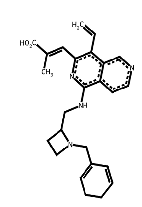 C=Cc1c(/C=C(\C)C(=O)O)nc(NCC2CCN2CC2=CCCC=C2)c2ccncc12